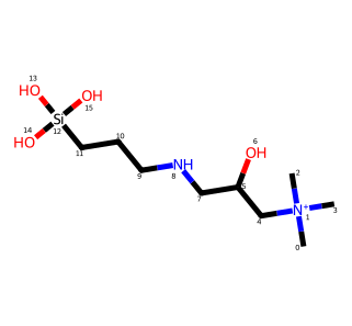 C[N+](C)(C)CC(O)CNCCC[Si](O)(O)O